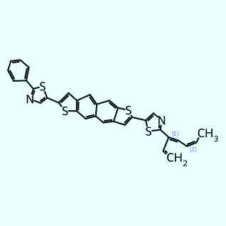 C=C/C(=C\C=C/C)c1ncc(-c2cc3cc4cc5sc(-c6cnc(-c7ccccc7)s6)cc5cc4cc3s2)s1